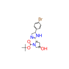 CC(C)(C)OC(=O)N1C[C@H](O)C[C@H]1C1=NCC(c2ccc(Br)cc2)N1